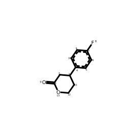 O=C1CC(c2ccc(F)cc2)CCO1